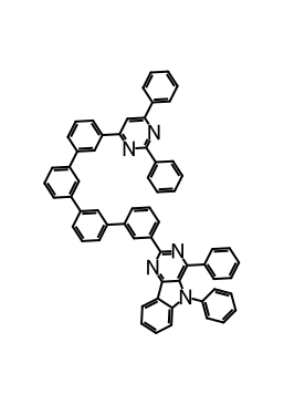 c1ccc(-c2cc(-c3cccc(-c4cccc(-c5cccc(-c6cccc(-c7nc(-c8ccccc8)c8c(n7)c7ccccc7n8-c7ccccc7)c6)c5)c4)c3)nc(-c3ccccc3)n2)cc1